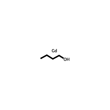 CCCCO.[Gd]